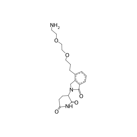 NCCOCCOCCCc1cccc2c1CN(C1CCC(=O)NC1=O)C2=O